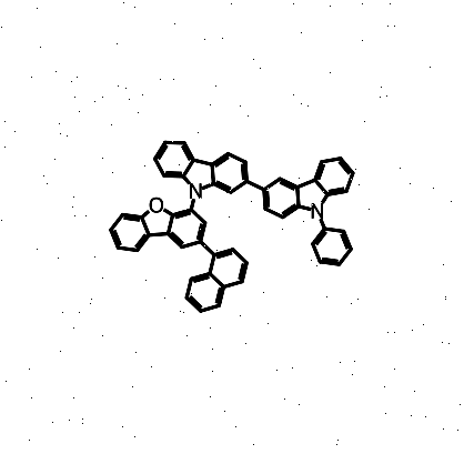 c1ccc(-n2c3ccccc3c3cc(-c4ccc5c6ccccc6n(-c6cc(-c7cccc8ccccc78)cc7c6oc6ccccc67)c5c4)ccc32)cc1